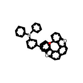 c1ccc(N(c2ccccc2)c2cccc(-c3cccc(-c4cccc5oc6ccc7ccc8oc9ccccc9c8c7c6c45)c3)c2)cc1